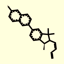 C=C/C=C\C1[C@@H](C)c2ccc(-c3ccc4cc(I)ccc4c3)cc2C1(C)C